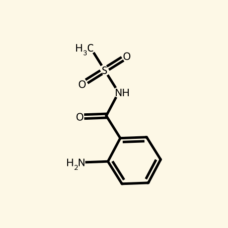 CS(=O)(=O)NC(=O)c1ccccc1N